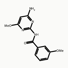 COc1cccc(C(=O)Nc2nc(N)cc(OC)n2)c1